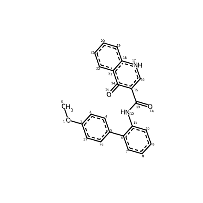 COc1ccc(-c2ccccc2NC(=O)c2c[nH]c3ccccc3c2=O)cc1